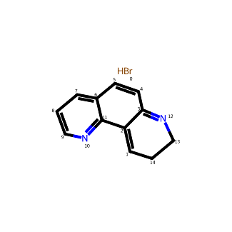 Br.C1=c2c(ccc3cccnc23)=NCC1